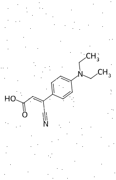 CCN(CC)c1ccc(C(C#N)=CC(=O)O)cc1